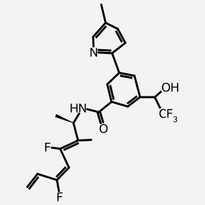 C=C/C(F)=C\C(F)=C(/C)[C@@H](C)NC(=O)c1cc(-c2ccc(C)cn2)cc(C(O)C(F)(F)F)c1